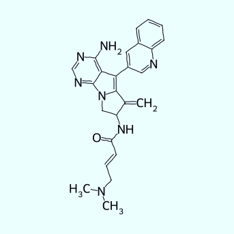 C=C1c2c(-c3cnc4ccccc4c3)c3c(N)ncnc3n2CC1NC(=O)C=CCN(C)C